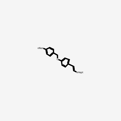 CCCCCCCC=Cc1ccc(OCc2ccc(CCCCCCCCC)cc2)cc1